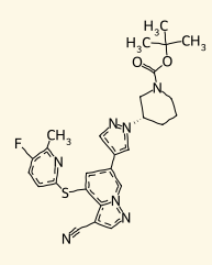 Cc1nc(Sc2cc(-c3cnn([C@H]4CCCN(C(=O)OC(C)(C)C)C4)c3)cn3ncc(C#N)c23)ccc1F